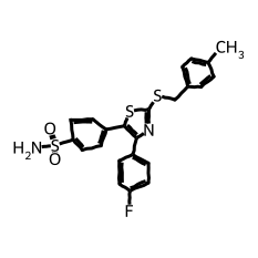 Cc1ccc(CSc2nc(-c3ccc(F)cc3)c(-c3ccc(S(N)(=O)=O)cc3)s2)cc1